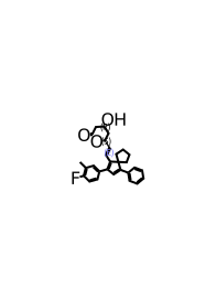 Cc1cc(C2=C(/C=C/[C@@H]3C[C@@H](O)CC(=O)O3)C3(CCCC3)C(c3ccccc3)=C2)ccc1F